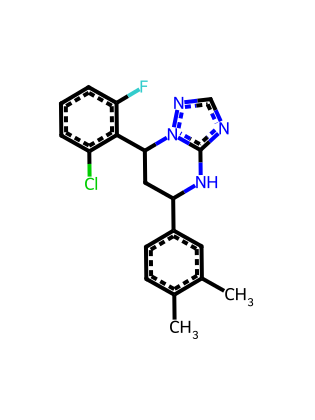 Cc1ccc(C2CC(c3c(F)cccc3Cl)n3ncnc3N2)cc1C